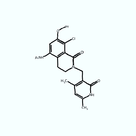 CC(=O)Nc1cc(OC(C)C)c(Cl)c2c1CCN(Cc1c(C)cc(C)[nH]c1=O)C2=O